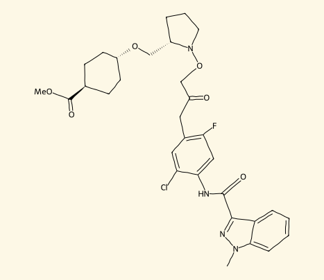 COC(=O)[C@H]1CC[C@H](OC[C@@H]2CCCN2OCC(=O)Cc2cc(Cl)c(NC(=O)c3nn(C)c4ccccc34)cc2F)CC1